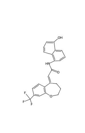 O=C(C=C1CCCOc2cc(C(F)(F)F)ccc21)Nc1cccc2c(O)cccc12